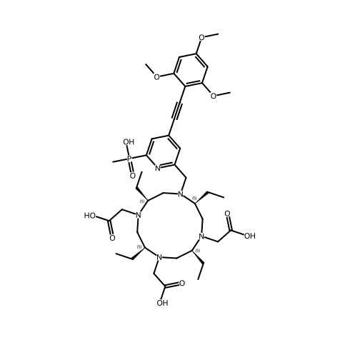 CC[C@H]1CN(CC(=O)O)[C@@H](CC)CN(Cc2cc(C#Cc3c(OC)cc(OC)cc3OC)cc(P(C)(=O)O)n2)[C@@H](CC)CN(CC(=O)O)[C@@H](CC)CN1CC(=O)O